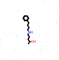 CC(O)CCCNCCCCc1ccccc1